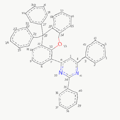 c1ccc(-c2cc(-c3cccc4c3Oc3ccccc3C4(c3ccccc3)c3ccccc3)nc(-c3ccccc3)n2)cc1